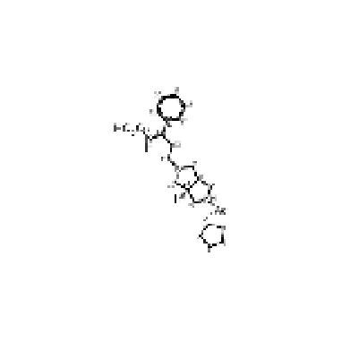 C1CCCC1.CC(=O)N1CC2CN(CCC(NC(=O)O)c3ccccc3)C[C@H]2C1